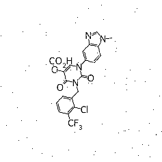 Cn1cnc2cc(-n3cc(OC(=O)O)c(=O)n(Cc4cccc(C(F)(F)F)c4Cl)c3=O)ccc21